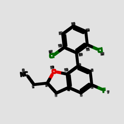 N#CCC1Cc2cc(F)cc(-c3c(Cl)cccc3Cl)c2O1